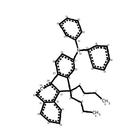 CCCCC1(CCCC)c2cc(N(c3ccccc3)c3ccccc3)ccc2-c2ccc3ccccc3c21